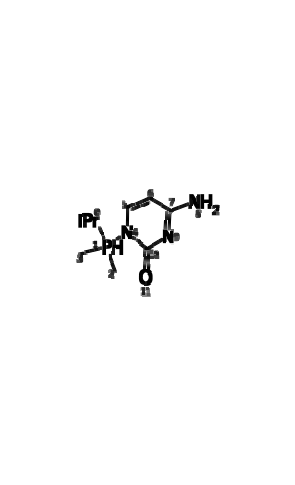 CC(C)[PH](C)(C)n1ccc(N)nc1=O